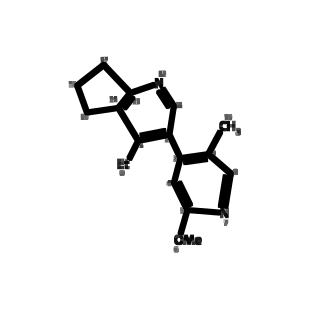 CCc1c(-c2cc(OC)ncc2C)cnc2c1CCC2